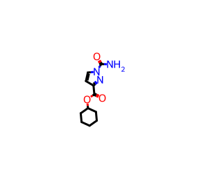 NC(=O)n1ccc(C(=O)OC2CCCCC2)n1